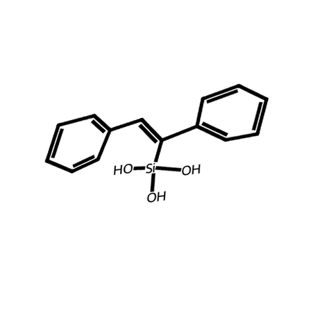 O[Si](O)(O)C(=Cc1ccccc1)c1ccccc1